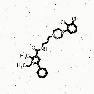 CCn1c(-c2ccccc2)cc(C(=O)NCCCN2CCN(c3cccc(Cl)c3Cl)CC2)c1C